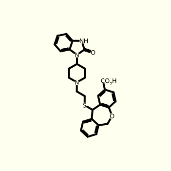 O=C(O)c1ccc2c(c1)C(SCCN1CCC(n3c(=O)[nH]c4ccccc43)CC1)c1ccccc1CO2